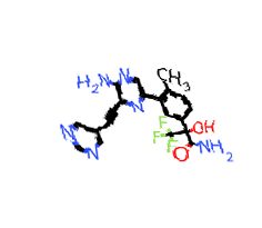 Cc1ccc(C(O)(C(N)=O)C(F)(F)F)cc1-c1cnc(N)c(C#Cc2cncnc2)n1